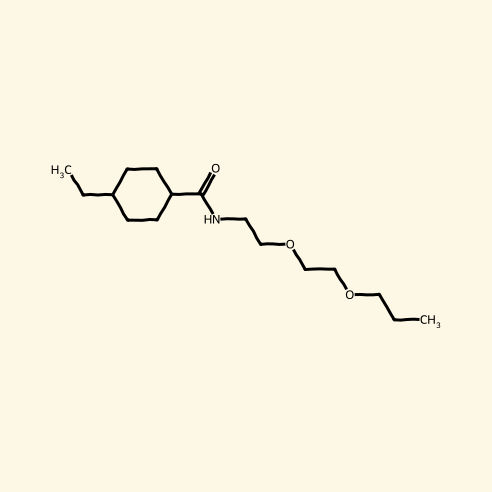 CCCOCCOCCNC(=O)C1CCC(CC)CC1